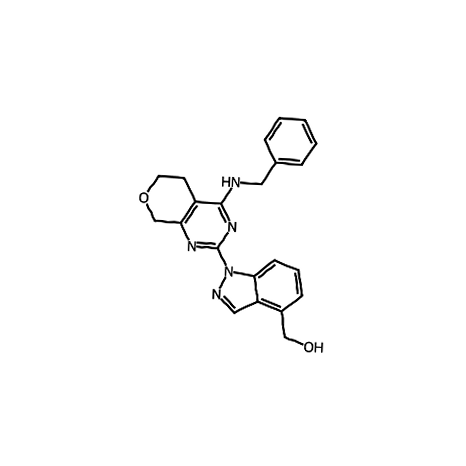 OCc1cccc2c1cnn2-c1nc2c(c(NCc3ccccc3)n1)CCOC2